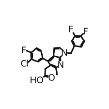 Cc1nc2c(ccn2Cc2ccc(F)c(F)c2)c(-c2ccc(F)c(Cl)c2)c1CC(=O)O